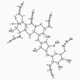 [N-]=[N+]=NCC1OC(OC2C(CO)OC(OC3C(O)C(N=[N+]=[N-])CC(N=[N+]=[N-])C3OC3OC(CN=[N+]=[N-])C(F)(F)C(O)C3N=[N+]=[N-])C2O)C(N=[N+]=[N-])C(O)C1O